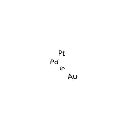 [Au].[Ir].[Pd].[Pt]